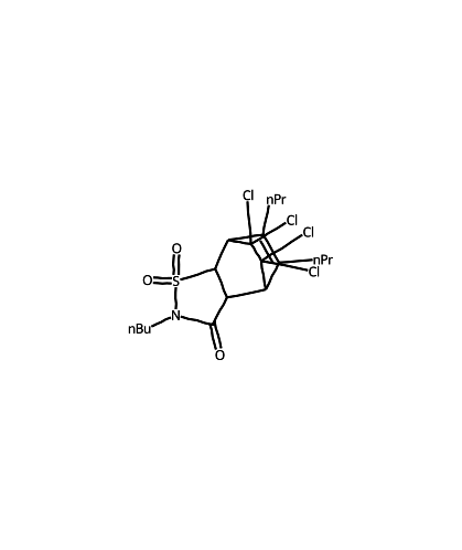 CCCCN1C(=O)C2C3C(CCC)=C(CCC)C(C2S1(=O)=O)C(Cl)(Cl)C3(Cl)Cl